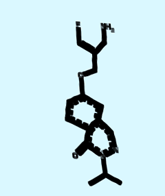 CC(C)n1ncc2cc(OCC(=CF)CN)ccc2c1=O